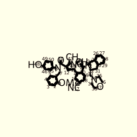 COc1ccccc1CN(C(=O)c1cc(-c2cc(C#N)ccc2C(=O)N2Cc3ccccc3C[C@H]2CN2CCOCC2)n(C)c1C)c1ccc(O)cc1